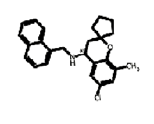 Cc1cc(Cl)cc2c1OC1(CCCC1)C[C@@H]2NCc1cccc2ccccc12